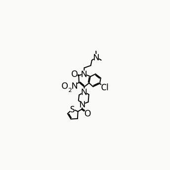 CN(C)CCCn1c(=O)c([N+](=O)[O-])c(N2CCN(C(=O)C3CC=CS3)CC2)c2cc(Cl)ccc21